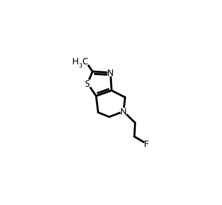 Cc1nc2c(s1)CCN(CCF)C2